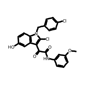 COc1cccc(NC(=O)C(=O)c2c(Cl)n(Cc3ccc(Cl)cc3)c3ccc(O)cc23)c1